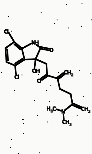 C=C(CCC(=C)N(C)C)C(=O)CC1(O)C(=O)Nc2c(Cl)ccc(Cl)c21